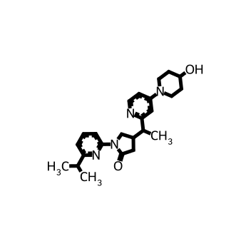 CC(C)c1cccc(N2CC(C(C)c3cc(N4CCC(O)CC4)ccn3)CC2=O)n1